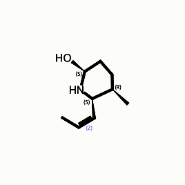 C/C=C\[C@H]1N[C@@H](O)CC[C@H]1C